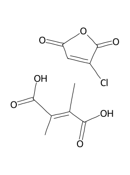 CC(C(=O)O)=C(C)C(=O)O.O=C1C=C(Cl)C(=O)O1